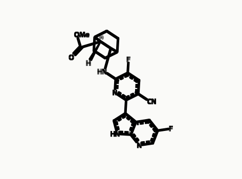 COC(=O)[C@@H]1C2CCC(CC2)C1Nc1nc(-c2c[nH]c3ncc(F)cc23)c(C#N)cc1F